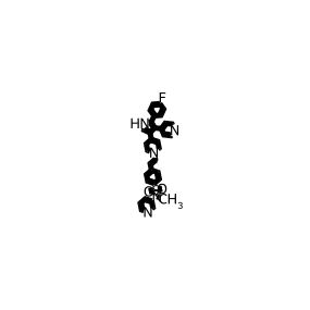 CN(c1cccnc1)S(=O)(=O)c1ccc(C=CN2CC=C(c3c[nH]c(-c4ccc(F)cc4)c3-c3ccncc3)CC2)cc1